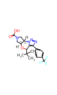 CC(C)(C)C1O[C@H]2CN(C(=O)O)C[C@@H]2n2nnc(-c3ccc(C(F)(F)F)cc3)c21